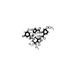 COc1ccc(C(=O)Nc2n[nH]c3c2CN(S(=O)(=O)c2cc(F)cc(F)c2)CC3(C)C)c(NC(=O)c2cc[nH]c2)c1